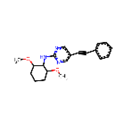 COC1CCCC(OC)C1Nc1ncc(C#Cc2ccccc2)cn1